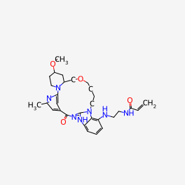 C=CC(=O)NCCNc1cccc2c1N1CCCCOCC3CC(OC)CCN3c3cc(cc(C)n3)C(=O)/N=C/1N2